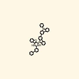 c1ccc(-c2cccc(C3Nc4c(oc5ccccc45)C(n4c5ccccc5c5cc(-c6ccc7c(c6)c6ccccc6n7-c6ccccc6)ccc54)N3)c2)cc1